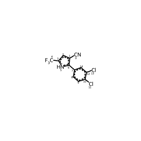 N#Cc1cc(C(F)(F)F)[nH]c1-c1ccc(Cl)c(Cl)c1